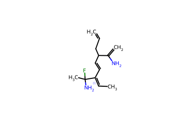 C=CCC(C=C/C(=C\C)C(C)(N)F)C(=C)N